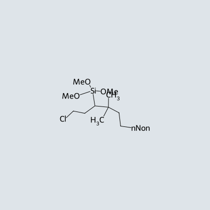 CCCCCCCCCCCC(C)(C)C(CCCl)[Si](OC)(OC)OC